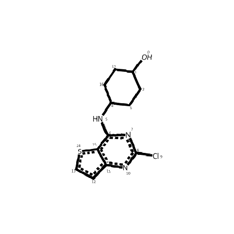 OC1CCC(Nc2nc(Cl)nc3ccsc23)CC1